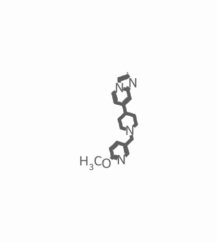 COc1ccc(CN2CCC(c3ccn4c[c]nc4c3)CC2)cn1